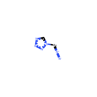 [N-]=[N+]=[As]n1cnnn1